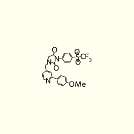 COc1ccc(-c2cc(CN3CC(=O)N(c4ccc(S(=O)(=O)C(F)(F)F)cc4)C3=O)ccn2)cc1